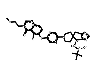 COCCn1cnc2ccc(Sc3cnc(N4CCC5(CC4)Cc4ncsc4[C@H]5N[S@+]([O-])C(C)(C)C)cn3)c(Cl)c2c1=O